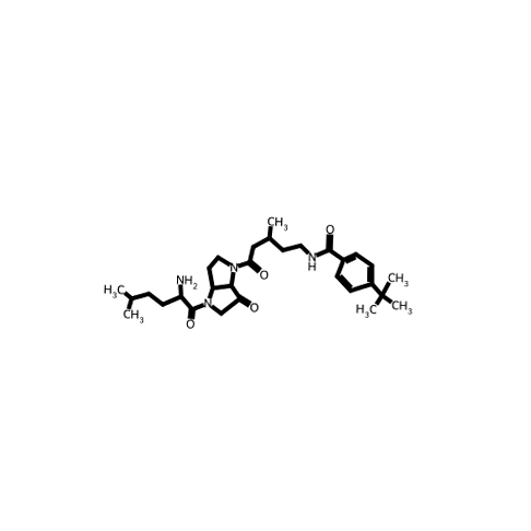 CC(C)CCC(N)C(=O)N1CC(=O)C2C1CCN2C(=O)CC(C)CCNC(=O)c1ccc(C(C)(C)C)cc1